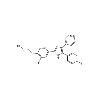 OCCSc1ccc(-c2cc(-c3ccncc3)c(-c3ccc(F)cc3)[nH]2)cc1F